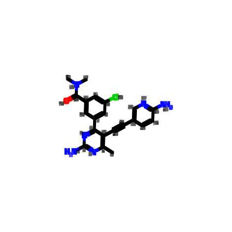 Cc1nc(N)nc(-c2cc(Cl)cc(C(=O)N(C)C)c2)c1C#Cc1ccc(N)nc1